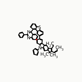 C=CC1=C(/C=C\C)C(C)(C)c2cc3c(cc21)c1cc(-c2ccc4sc5cccc(-c6nc(-c7ccccc7)nc7ccccc67)c5c4c2)ccc1n3-c1ccccc1